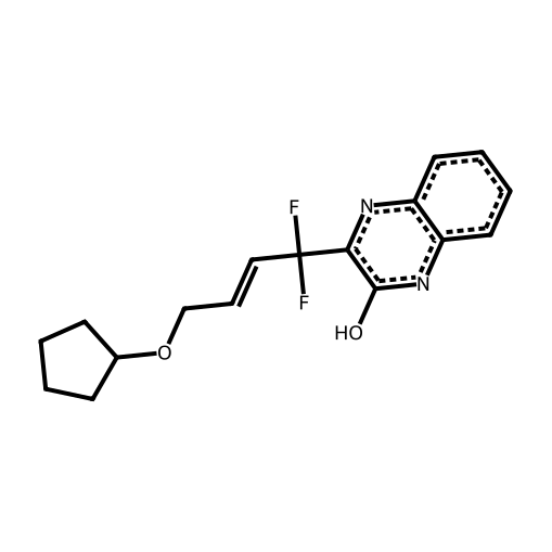 Oc1nc2ccccc2nc1C(F)(F)/C=C/COC1CCCC1